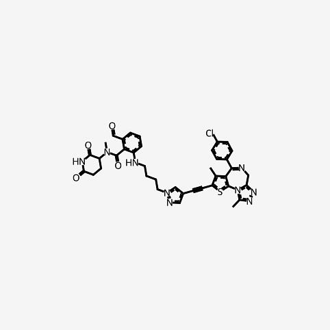 Cc1c(C#Cc2cnn(CCCCNc3cccc(C=O)c3C(=O)N(C)C3CCC(=O)NC3=O)c2)sc2c1C(c1ccc(Cl)cc1)=NCc1nnc(C)n1-2